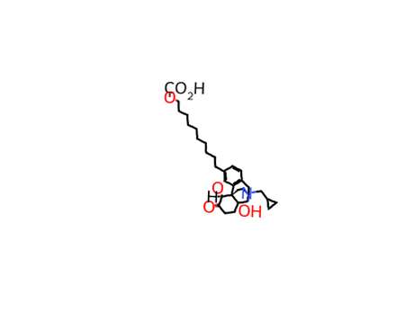 O=C(O)OCCCCCCCCCCc1ccc2c3c1O[C@H]1C(=O)CC[C@@]4(O)C(C2)N(CC2CC2)CC[C@]314